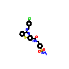 NS(=O)(=O)c1ccc(CNC(=O)c2ccc3c(c2)N=C(N=Cc2ccc(Cl)cc2)c2ccccc2S3)cc1